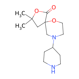 CC1(C)CC2(CN(C3CCNCC3)CCO2)C(=O)O1